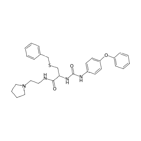 O=C(Nc1ccc(Oc2ccccc2)cc1)NC(CSCc1ccccc1)C(=O)NCCN1CCCC1